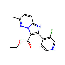 CCOC(=O)c1c(-c2ccncc2F)nc2ccc(C)nn12